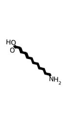 NCCCCCCCC=CC=CC(=O)O